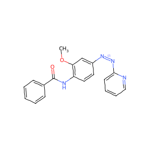 COc1cc(/N=N\c2ccccn2)ccc1NC(=O)c1ccccc1